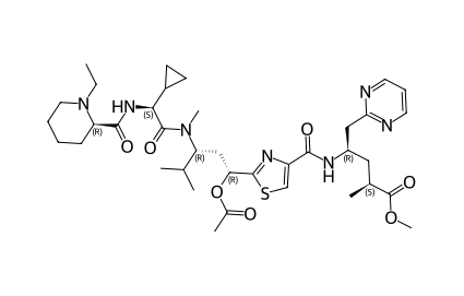 CCN1CCCC[C@@H]1C(=O)N[C@H](C(=O)N(C)[C@H](C[C@@H](OC(C)=O)c1nc(C(=O)N[C@@H](Cc2ncccn2)C[C@H](C)C(=O)OC)cs1)C(C)C)C1CC1